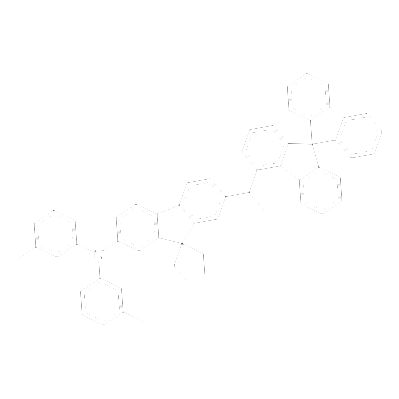 CCC1(CC)c2cc(C(C)c3cccc4c3-c3ccccc3C4(c3ccccc3)c3ccccc3)ccc2-c2ccc(N(c3cccc(C)c3)c3cccc(C)c3)cc21